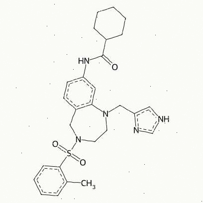 Cc1ccccc1S(=O)(=O)N1CCN(Cc2c[nH]cn2)c2cc(NC(=O)C3CCCCC3)ccc2C1